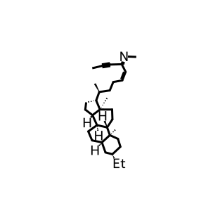 CC#CC(/C=C\CC[C@H](C)[C@H]1CC[C@H]2[C@@H]3CC[C@@H]4C[C@@H](CC)CC[C@]4(C)[C@H]3CC[C@]12C)=N/C